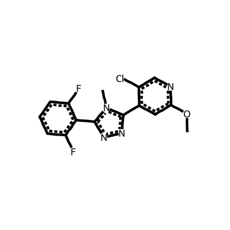 COc1cc(-c2nnc(-c3c(F)cccc3F)n2C)c(Cl)cn1